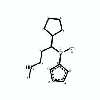 CNCCC(C1CCCC1)[S+]([O-])c1ccsc1